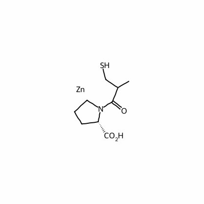 CC(CS)C(=O)N1CCC[C@H]1C(=O)O.[Zn]